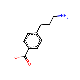 NCCCc1ccc(C(=O)O)cc1